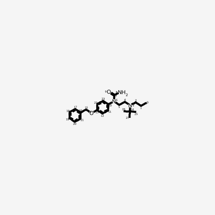 CCCN(CCN(C(N)=O)c1ccc(OCc2ccccc2)cc1)C(C)(C)C